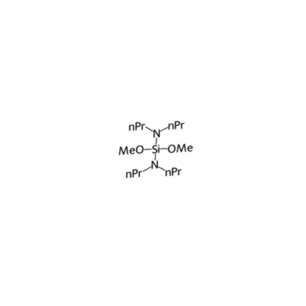 CCCN(CCC)[Si](OC)(OC)N(CCC)CCC